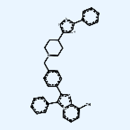 N#Cc1cccn2c(-c3ccccc3)c(-c3ccc(CN4CCC(c5nnc(-c6ccccc6)[nH]5)CC4)cc3)nc12